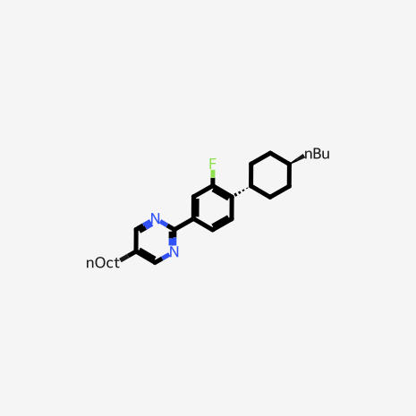 CCCCCCCCc1cnc(-c2ccc([C@H]3CC[C@H](CCCC)CC3)c(F)c2)nc1